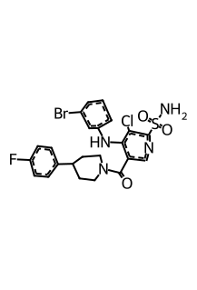 NS(=O)(=O)c1ncc(C(=O)N2CCC(c3ccc(F)cc3)CC2)c(Nc2cccc(Br)c2)c1Cl